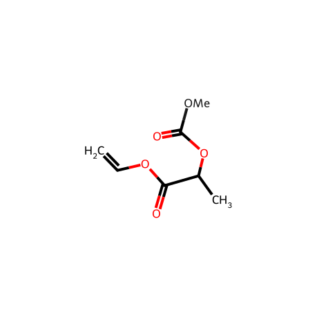 C=COC(=O)C(C)OC(=O)OC